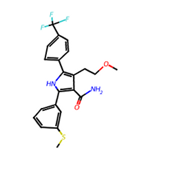 COCCc1c(-c2ccc(C(F)(F)F)cc2)[nH]c(-c2cccc(SC)c2)c1C(N)=O